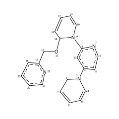 C1=CCN(c2ccnc(N3C=CC=CC3OCc3ccccn3)c2)C=C1